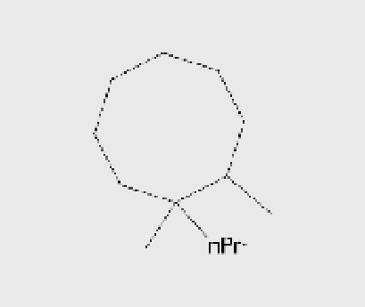 CC[CH]C1(C)CCCCCCC1C